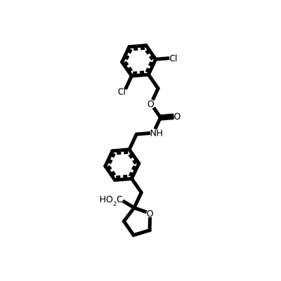 O=C(NCc1cccc(CC2(C(=O)O)CCCO2)c1)OCc1c(Cl)cccc1Cl